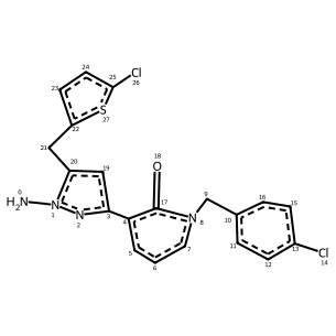 Nn1nc(-c2cccn(Cc3ccc(Cl)cc3)c2=O)cc1Cc1ccc(Cl)s1